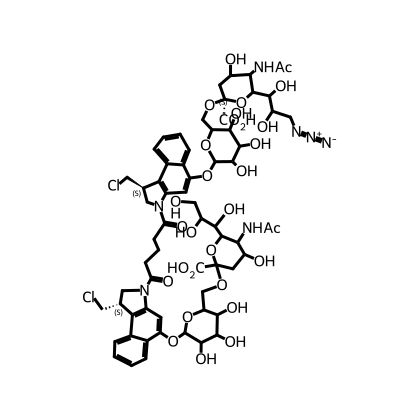 CC(=O)NC1C(O)CC(OCC2OC(Oc3cc4c(c5ccccc35)[C@H](CCl)CN4C(=O)CCCC(=O)N3C[C@@H](CCl)c4c3cc(OC3OC(CO[C@@]5(C(=O)O)CC(O)C(NC(C)=O)C(C(O)C(O)CN=[N+]=[N-])O5)C(O)C(O)C3O)c3ccccc43)C(O)C(O)C2O)(C(=O)O)OC1C(O)C(O)CO